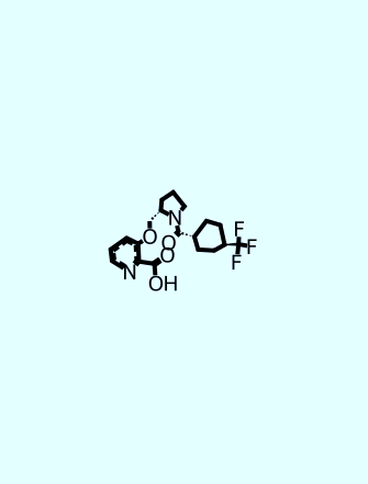 O=C(O)c1ncccc1OC[C@@H]1CCCN1C(=O)[C@H]1CC[C@H](C(F)(F)F)CC1